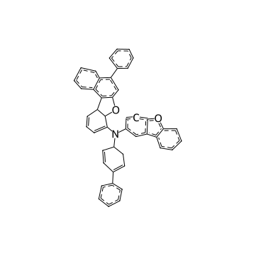 C1=CC2c3c(cc(-c4ccccc4)c4ccccc34)OC2C(N(c2ccc3oc4ccccc4c3c2)C2C=CC(c3ccccc3)=CC2)=C1